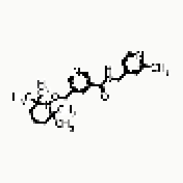 Cc1cc(CNC(=O)c2cncc(CON3C(C)(C)CCCC3(C)C)c2)ccn1